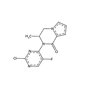 CC1Cn2cccc2C(=O)N1c1nc(Cl)ncc1F